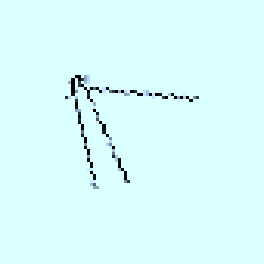 CCCCCCCCCCCCCCCCCC(CCCCCCCCCCCCCCCC)c1[nH]cc[n+]1C(C)CCCCCCCCCCCCCCC